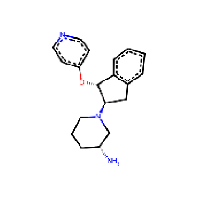 N[C@@H]1CCCN([C@@H]2Cc3ccccc3[C@H]2Oc2ccncc2)C1